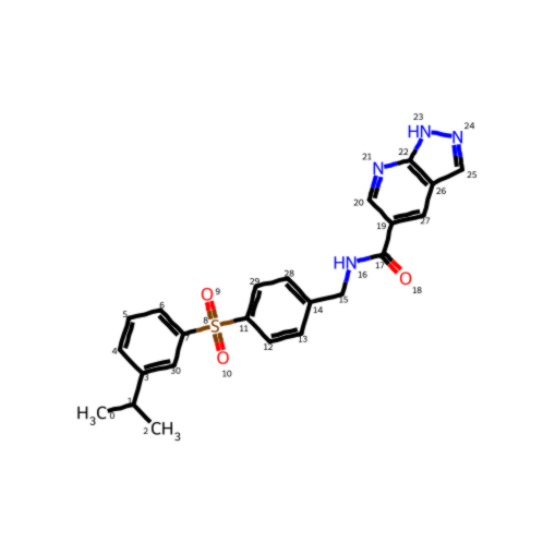 CC(C)c1cccc(S(=O)(=O)c2ccc(CNC(=O)c3cnc4[nH]ncc4c3)cc2)c1